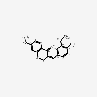 COc1ccc2c(c1)OC/C(=C/c1ccc(O)c(OC)c1)C2=O